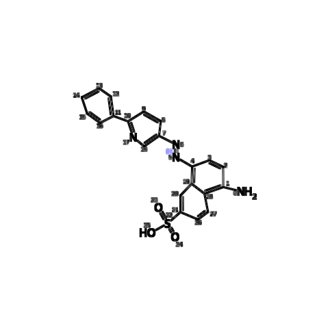 Nc1ccc(/N=N/c2ccc(-c3ccccc3)nc2)c2cc(S(=O)(=O)O)ccc12